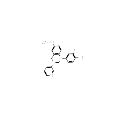 COc1ccc2c(c1)CN(c1cccnc1)CN2c1ccc(Cl)c(Cl)c1